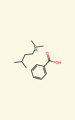 CC(C)C[CH2][SnH]([CH3])[CH3].O=C(O)c1ccccc1